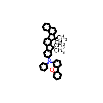 CC1(C)c2cc(N(c3ccccc3)c3cccc4c3oc3ccccc34)ccc2-c2ccc3c(c21)C(C)(C)c1ccc2ccccc2c1-3